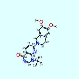 COc1cc2c(cc1OC)CN(c1ccc3c(=O)ncn(C(C)(C)C)c3n1)CC2